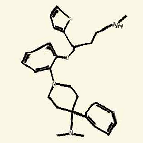 CNCCC(Oc1ccccc1N1CCC(c2ccccc2)(N(C)C)CC1)c1cccs1